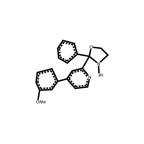 COc1cccc(-c2ccnc(C3(c4ccccc4)OCCN3C(C)C)c2)c1